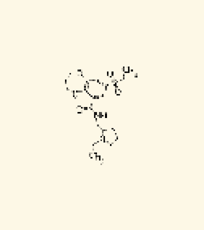 CCN1CCCC1CNC(=O)c1cc(S(=O)(=O)CC)cc2c1OCCCO2